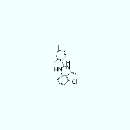 C=C1NC(c2ccc(C)cc2C)Nc2cccc(Cl)c21